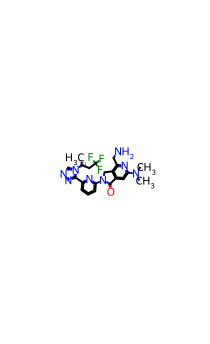 C[C@@H](CC(F)(F)F)n1cnnc1-c1cccc(N2Cc3c(cc(N(C)C)nc3CN)C2=O)n1